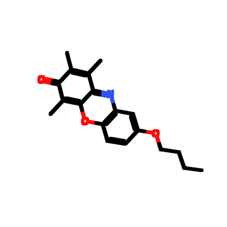 CCCCOc1ccc2oc3c(C)c(=O)c(C)c(C)c-3nc2c1